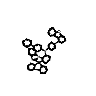 c1ccc(-c2ccc(N(c3ccc(-c4cccc5oc6ccccc6c45)cc3)c3cccc4c3-n3c(nc5ccccc53)C43c4ccccc4-c4ccccc43)cc2)cc1